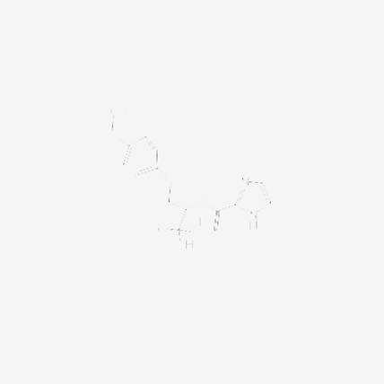 COc1ccc(OCC(OC(=O)c2ncc[nH]2)C(C)(C)C)cc1